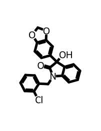 O=C1N(Cc2ccccc2Cl)c2ccccc2C1(O)c1ccc2c(c1)OCO2